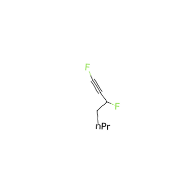 CCCCC(F)C#CF